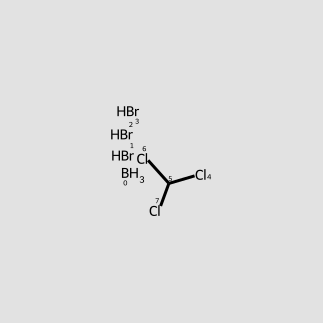 B.Br.Br.Br.ClC(Cl)Cl